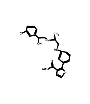 COC(=O)c1ccsc1-c1cccc(NCC(C)NCC(O)c2cccc(Cl)c2)c1